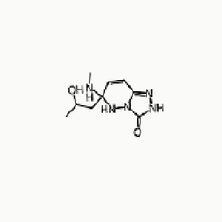 CNC1(CC(C)O)C=Cc2n[nH]c(=O)n2N1